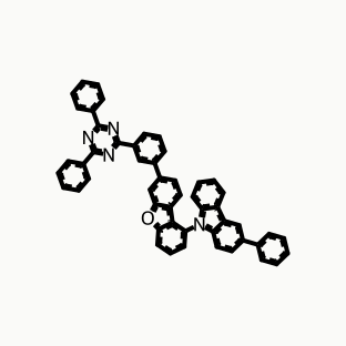 c1ccc(-c2ccc3c(c2)c2ccccc2n3-c2cccc3oc4cc(-c5cccc(-c6nc(-c7ccccc7)nc(-c7ccccc7)n6)c5)ccc4c23)cc1